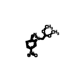 COC(Cn1ncc2ccc([N+](=O)[O-])cc21)OC